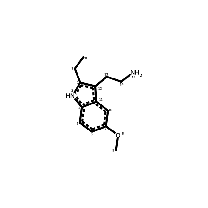 CCc1[nH]c2ccc(OC)cc2c1CCN